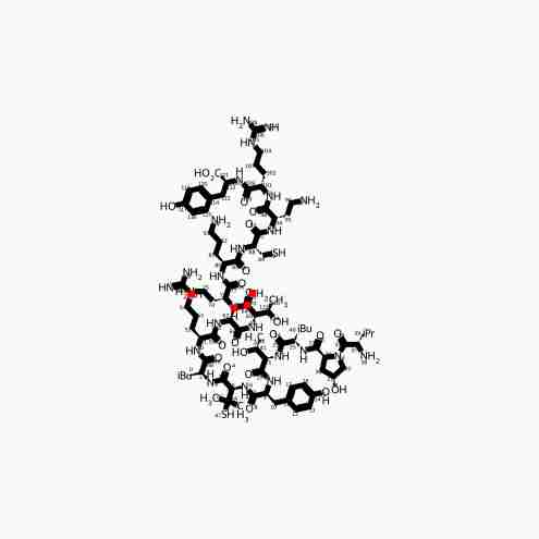 CC[C@H](C)[C@H](NC(=O)[C@@H](NC(=O)[C@H](Cc1ccc(O)cc1)NC(=O)[C@@H](NC(=O)[C@@H](NC(=O)[C@@H]1C[C@@H](O)CN1C(=O)[C@@H](N)C(C)C)[C@@H](C)CC)[C@@H](C)O)C(C)(C)S)C(=O)N[C@@H](CCCNC(=N)N)C(=O)N[C@@H](CCN)C(=O)N[C@H](C(=O)N[C@H](CCN)C(=O)N[C@@H](CCCN)C(=O)N[C@@H](CS)C(=O)N[C@@H](CCN)C(=O)N[C@@H](CCCNC(=N)N)C(=O)N[C@@H](Cc1ccc(O)cc1)C(=O)O)[C@@H](C)O